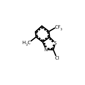 Cc1ccc(C(F)(F)F)c2sc(Cl)nc12